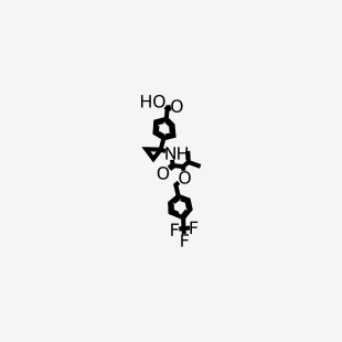 CC(C)C(OCc1ccc(C(F)(F)F)cc1)C(=O)NC1(c2ccc(C(=O)O)cc2)CC1